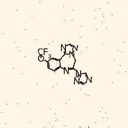 FC(F)(F)Oc1ccc2c(c1)-c1ncnn1CC(n1cncn1)=N2